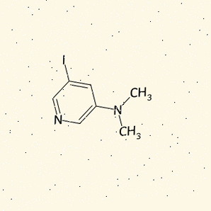 CN(C)c1cncc(I)c1